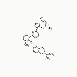 Cc1cccc(-c2cccc(-n3ncc(C(=O)O)c3OC(C)C)n2)c1OCc1ccc2c(c1)CCN(C(C)C)C2